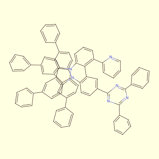 c1ccc(-c2ccc3c(c2)c2cc(-c4ccccc4)ccc2n3-c2ccc(-c3nc(-c4ccccc4)nc(-c4ccccc4)n3)cc2-c2c(-c3ccccn3)cccc2-n2c3ccc(-c4ccccc4)cc3c3cc(-c4ccccc4)ccc32)cc1